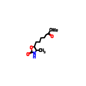 COC(=O)CCCCCC1OC(=O)NC1C